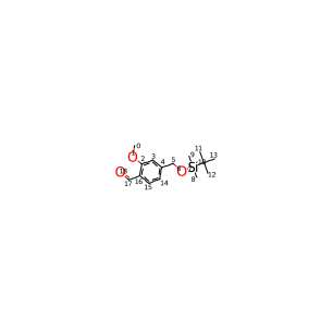 COc1cc(CO[Si](C)(C)C(C)(C)C)ccc1C=O